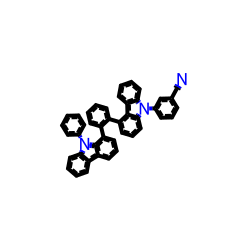 N#Cc1cccc(-n2c3ccccc3c3c(-c4ccccc4-c4cccc5c6ccccc6n(-c6ccccc6)c45)cccc32)c1